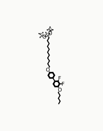 CCCCCOc1ccc(-c2ccc(OCCCCCCCCCCC[Si](C)(O[Si](C)(C)C)O[Si](C)(C)C)cc2)c(F)c1F